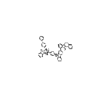 c1ccc(-c2ccc(-c3nc(-c4ccc(-n5c6ccccc6c6ccc(-c7cccc8c7sc7c9ccccc9ccc87)cc65)cc4)nc4c3sc3ccccc34)cc2)cc1